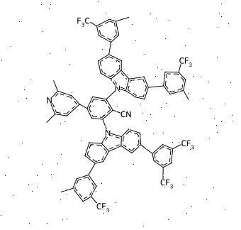 Cc1cc(-c2ccc3c(c2)c2cc(-c4cc(C)cc(C(F)(F)F)c4)ccc2n3-c2cc(-c3cc(C)nc(C)c3)cc(-n3c4ccc(-c5cc(C)cc(C(F)(F)F)c5)cc4c4cc(-c5cc(C(F)(F)F)cc(C(F)(F)F)c5)ccc43)c2C#N)cc(C(F)(F)F)c1